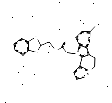 O=C(Cn1c2c(c3cc(F)ccc31)CCn1nccc1-2)NCC1Nc2ccccc2N1